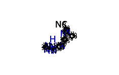 N#Cc1ccn2c(-c3ccccc3)c(-c3ccc(CN4CCC(c5nnc(-c6ncccn6)[nH]5)CC4)cc3)nc2c1